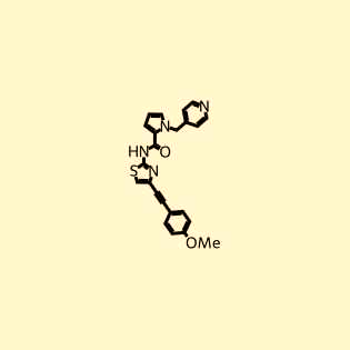 COc1ccc(C#Cc2csc(NC(=O)c3cccn3Cc3ccncc3)n2)cc1